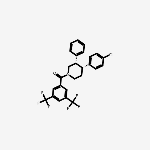 O=C(c1cc(C(F)(F)F)cc(C(F)(F)F)c1)N1CC[C@@H](c2ccc(Cl)cc2)[C@@H](c2ccccc2)C1